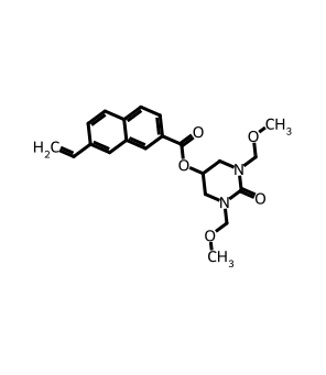 C=Cc1ccc2ccc(C(=O)OC3CN(COC)C(=O)N(COC)C3)cc2c1